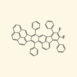 Fc1c(F)c(-c2ccccc2)c2c3cc4c(-c5ccccc5)c5c6cc7cccc8ccc9ccc(c5c(-c5ccccc5)c4c4cccc(c2c1-c1ccccc1)c43)c6c9c87